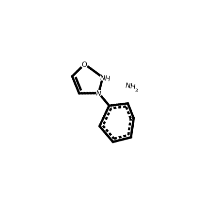 C1=CN(c2ccccc2)NO1.N